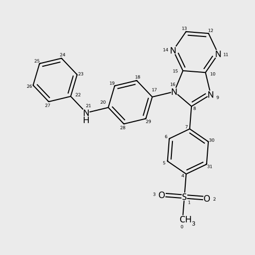 CS(=O)(=O)c1ccc(-c2nc3nccnc3n2-c2ccc(Nc3ccccc3)cc2)cc1